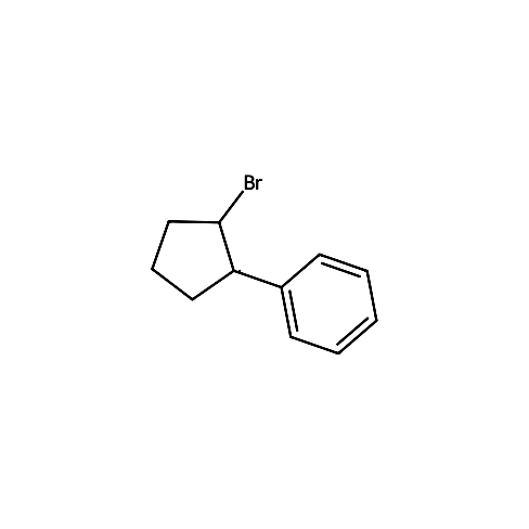 BrC1CCC[C]1c1ccccc1